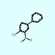 FC(F)(F)c1ccc(-c2ccccc2)cc1P(Cl)Cl